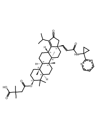 CC(C)C1=C2[C@H]3CC[C@@H]4[C@@]5(C)CC[C@H](OC(=O)CC(C)(C)C(=O)O)C(C)(C)[C@@H]5CC[C@@]4(C)[C@]3(C)CC[C@@]2(C=CC(=O)NC2(c3ncccn3)CC2)CC1=O